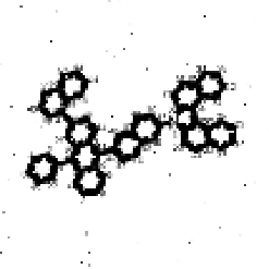 c1ccc(-c2c3ccccc3c(-c3ccc4cc(-n5c6ccc7ccccc7c6c6c7ccccc7ccc65)ccc4c3)c3ccc(-c4cccc5ccccc45)cc23)cc1